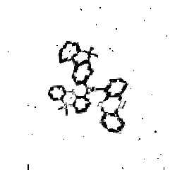 CC1(C)c2ccccc2-c2ccc(N(c3cccc4c3Oc3ccccc3O4)c3cccc4c3Sc3ccccc3[Si]4(C)C)cc21